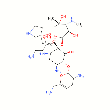 CN[C@@H]1[C@@H](O)[C@@H](O[C@]2(CC(O)CCN)[C@@H](O)[C@H](O[C@H]3OC(CN)=CC[C@H]3N)[C@@H](N)C[C@]2(N)C(=O)CC2(O)CCNC2)OC[C@]1(C)O